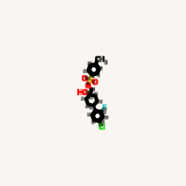 Cc1ccc(S(=O)(=O)OC[C@]2(O)CC[C@@H](c3ccc(Cl)cc3F)CC2)cc1